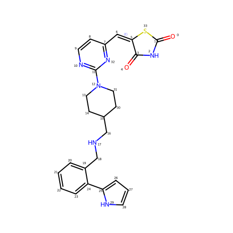 O=C1NC(=O)/C(=C\c2ccnc(N3CCC(CNCc4ccccc4-c4ccc[nH]4)CC3)n2)S1